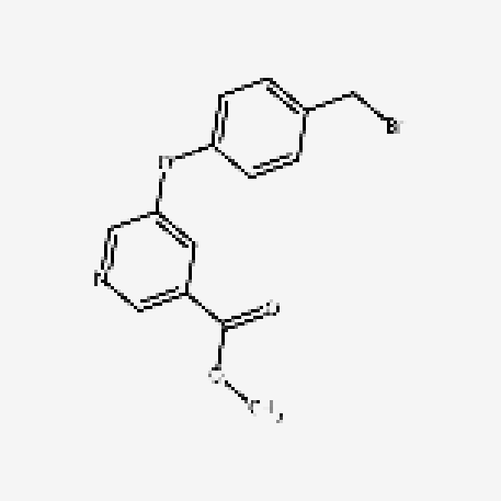 COC(=O)c1cncc(Oc2ccc(CBr)cc2)c1